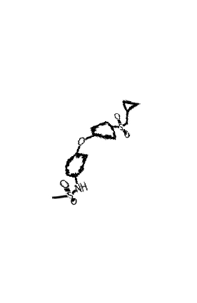 CS(=O)(=O)Nc1ccc(Oc2ccc(S(=O)(=O)CC3CC3)cc2)cc1